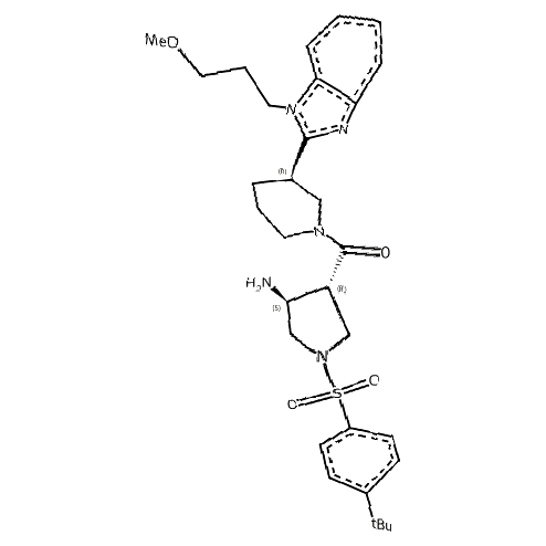 COCCCn1c([C@@H]2CCCN(C(=O)[C@@H]3CN(S(=O)(=O)c4ccc(C(C)(C)C)cc4)C[C@H]3N)C2)nc2ccccc21